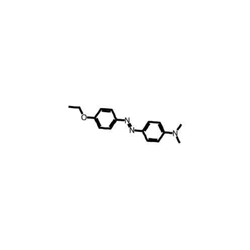 CCOc1ccc(N=Nc2ccc(N(C)C)cc2)cc1